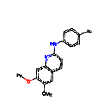 COc1cc2ccc(Nc3ccc(C(C)=O)cc3)nc2cc1OC(C)C